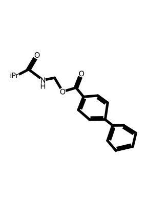 CC(C)C(=O)NCOC(=O)c1ccc(-c2ccccc2)cc1